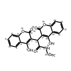 CCCCCCCCCCNC(=O)C(c1c(O)c2ccccc2oc1=O)c1c(O)c2ccccc2oc1=O